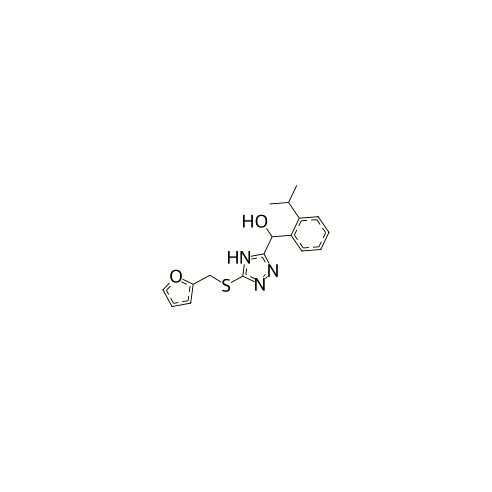 CC(C)c1ccccc1C(O)c1nnc(SCc2ccco2)[nH]1